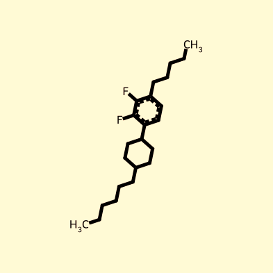 CCCCCCC1CCC(c2ccc(CCCCC)c(F)c2F)CC1